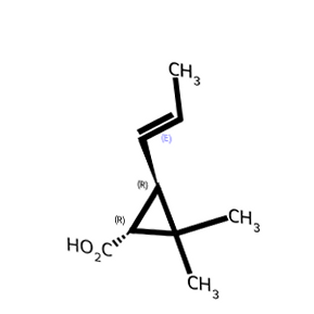 C/C=C/[C@@H]1[C@@H](C(=O)O)C1(C)C